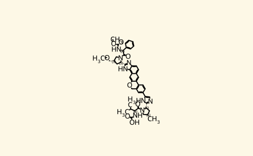 COC[C@H]1C[C@@H](c2nc3ccc4cc5c(cc4c3[nH]2)OCc2cc(-c3cnc([C@@H]4C[C@H](C)CN4C(=O)[C@@H](NC(=O)O)C(C)C)[nH]3)ccc2-5)N(C(=O)[C@H](NC(=O)OC)c2ccccc2)C1